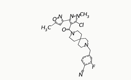 Cc1cc(-c2nn(C)c(Cl)c2C(=O)N2CCC3(CCN(Cc4ccc(C#N)c(F)c4)CC3)CC2)no1